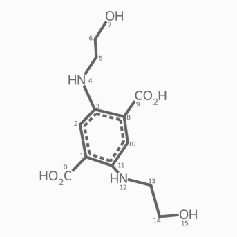 O=C(O)c1cc(NCCO)c(C(=O)O)cc1NCCO